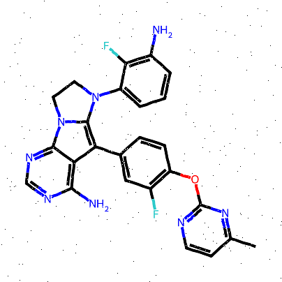 Cc1ccnc(Oc2ccc(-c3c4n(c5ncnc(N)c35)CCN4c3cccc(N)c3F)cc2F)n1